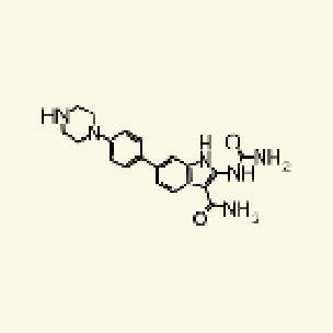 NC(=O)Nc1[nH]c2cc(-c3ccc(N4CCNCC4)cc3)ccc2c1C(N)=O